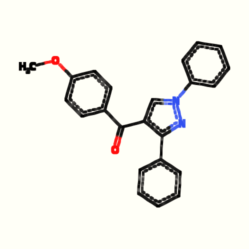 COc1ccc(C(=O)c2cn(-c3ccccc3)nc2-c2ccccc2)cc1